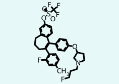 Cc1ccc(C2=C(c3ccc(OC4CCN(CCCF)C4)cc3)c3ccc(OS(=O)(=O)C(F)(F)F)cc3CCC2)c(F)c1